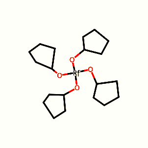 C1CCC([O][Rf]([O]C2CCCC2)([O]C2CCCC2)[O]C2CCCC2)C1